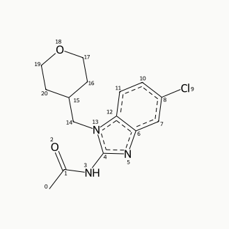 CC(=O)Nc1nc2cc(Cl)ccc2n1CC1CCOCC1